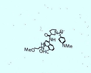 CNc1ccc([S+]([O-])N2CCCC(C(=O)Nc3ccc(NCCCOC)c4c(C=O)cccc34)C2)cc1